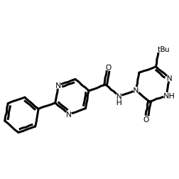 CC(C)(C)C1=NNC(=O)N(NC(=O)c2cnc(-c3ccccc3)nc2)C1